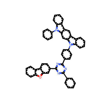 c1ccc(-c2nc(-c3ccc(-n4c5ccccc5c5cc6c7ccccc7n(-c7ccccc7)c6cc54)cc3)nc(-c3ccc4c(c3)oc3ccccc34)n2)cc1